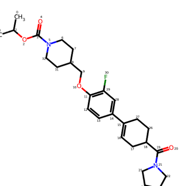 CC(OC(=O)N1CCC(COc2ccc(C3=CCC(C(=O)N4CCCC4)CC3)cc2F)CC1)C(F)(F)F